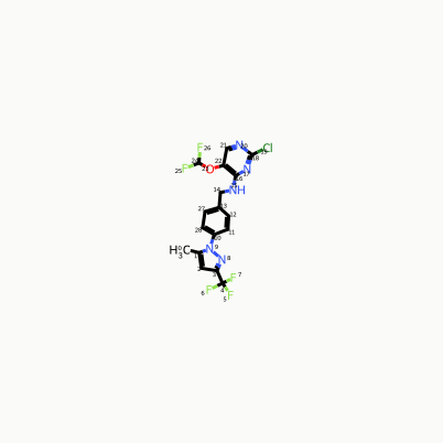 Cc1cc(C(F)(F)F)nn1-c1ccc(CNc2nc(Cl)ncc2OC(F)F)cc1